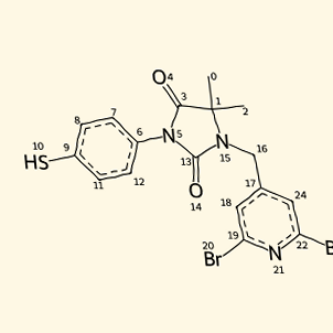 CC1(C)C(=O)N(c2ccc(S)cc2)C(=O)N1Cc1cc(Br)nc(Br)c1